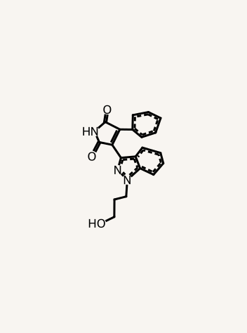 O=C1NC(=O)C(c2nn(CCCO)c3ccccc23)=C1c1ccccc1